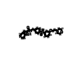 O=C(NCc1ccc(S(=O)(=O)c2cccc(OCCN3CCOCC3)c2)cc1)c1cc2cnccc2[nH]1